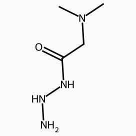 CN(C)CC(=O)NNN